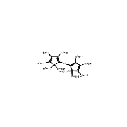 CCCCCC1=C(CCCCC)C(CCCCC)(CCCCC)[C]([Fe][C]2=C(CCCCC)C(CCCCC)=C(CCCCC)C2(CCCCC)CCCCC)=C1CCCCC